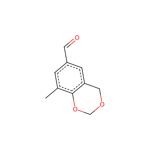 Cc1cc(C=O)cc2c1OCOC2